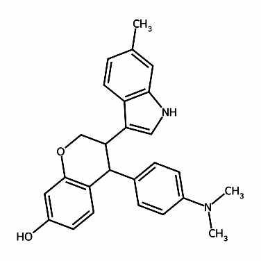 Cc1ccc2c(C3COc4cc(O)ccc4C3c3ccc(N(C)C)cc3)c[nH]c2c1